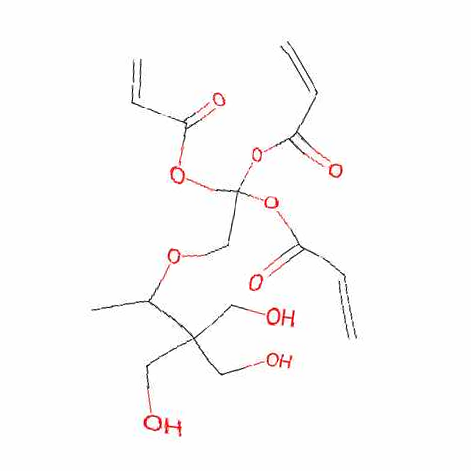 C=CC(=O)OC(COC(C)C(CO)(CO)CO)(OC(=O)C=C)OC(=O)C=C